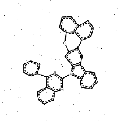 c1ccc(-c2nc(-n3c4ccccc4c4cc5c(cc43)Oc3cccc4cccc-5c34)nc3ccccc23)cc1